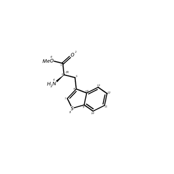 COC(=O)[C@H](N)Cc1csc2ccccc12